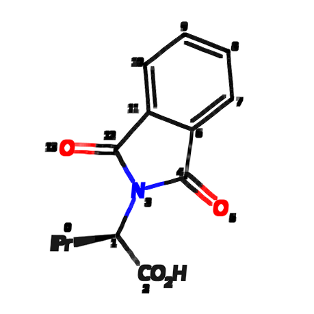 CC(C)[C@H](C(=O)O)N1C(=O)c2ccccc2C1=O